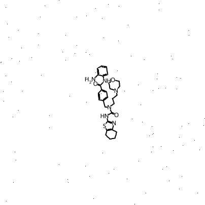 Nc1ccccc1NC(=O)c1ccc(CN(CCCN2CCOCC2)C(=O)Nc2nc3c(s2)CCCC3)cc1